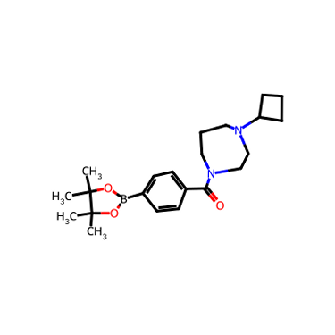 CC1(C)OB(c2ccc(C(=O)N3CCCN(C4CCC4)CC3)cc2)OC1(C)C